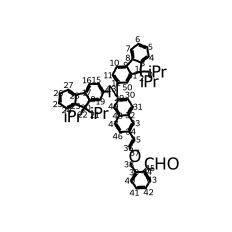 CC(C)C1(C(C)C)c2ccccc2-c2ccc(N(c3ccc4c(c3)C(C(C)C)(C(C)C)c3ccccc3-4)c3ccc4cc(C=COCc5ccccc5C=O)ccc4c3)cc21